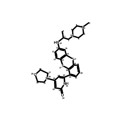 CC(CN1CCN(C)CC1)Nc1ccc2c(c1)Sc1cccc(-c3cc(N4CCOCC4)cc(=O)[nH]3)c1S2